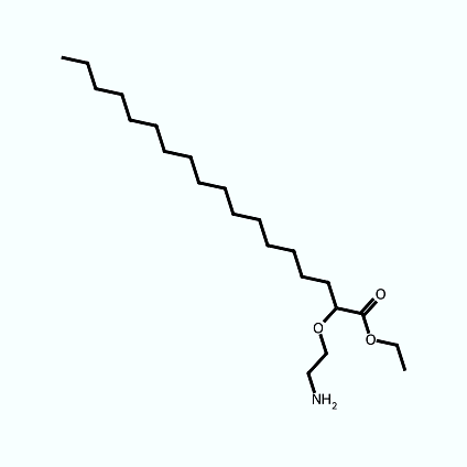 CCCCCCCCCCCCCCCCC(OCCN)C(=O)OCC